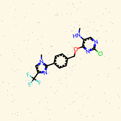 CNc1cnc(Cl)nc1OCc1ccc(-c2nc(C(F)(F)F)cn2C)cc1